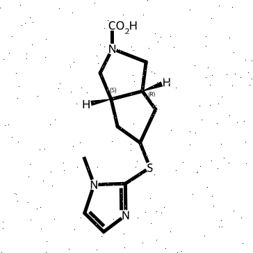 Cn1ccnc1SC1C[C@@H]2CN(C(=O)O)C[C@@H]2C1